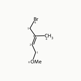 COC/C=C(\C)CBr